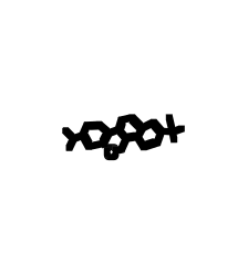 CC(C)c1ccc2c(c1)OCc1c-2ccc2cc(C(C)(C)C)ccc12